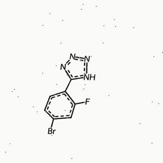 Fc1cc(Br)ccc1-c1nnn[nH]1